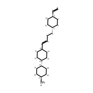 C=C[C@H]1CC[C@H](CC/C=C/C2CCC([C@H]3CC[C@H](CCC)CC3)CC2)CC1